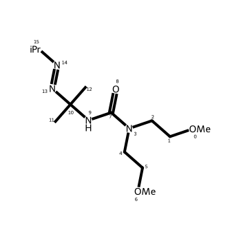 COCCN(CCOC)C(=O)NC(C)(C)/N=N/C(C)C